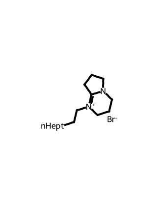 CCCCCCCCC[N+]1=C2CCCN2CCC1.[Br-]